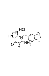 Cl.NC1NC(=O)c2[nH]cnc2N1Cc1ccc2c(c1)OCO2